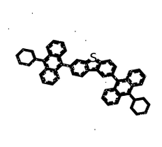 c1ccc2c(C3CCCCC3)c3ccccc3c(-c3ccc4c(c3)sc3ccc(-c5c6ccccc6c(C6CCCCC6)c6ccccc56)cc34)c2c1